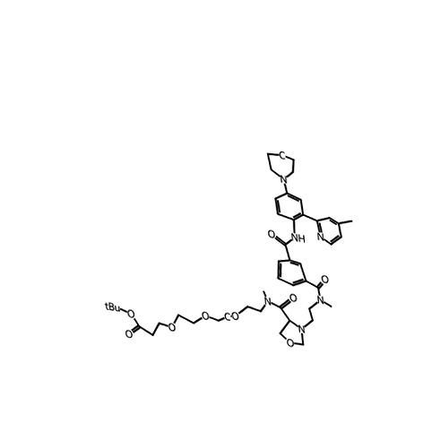 Cc1ccnc(-c2cc(N3CCCCC3)ccc2NC(=O)c2cccc(C(=O)N(C)CCN3COCC3C(=O)N(C)CCOCCOCCOCCC(=O)OC(C)(C)C)c2)c1